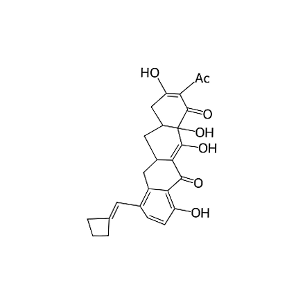 CC(=O)C1=C(O)CC2CC3Cc4c(C=C5CCC5)ccc(O)c4C(=O)C3=C(O)C2(O)C1=O